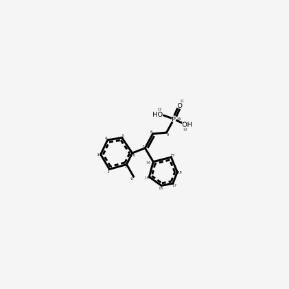 Cc1ccccc1C(=CCP(=O)(O)O)c1ccccc1